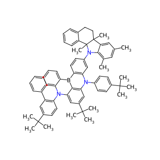 Cc1cc(C)c2c(c1)C1(C)CCc3ccccc3C1(C)N2c1ccc2c(c1)N(c1ccc(C(C)(C)C)cc1)c1cc(C(C)(C)C)cc3c1B2c1ccccc1N3c1ccc(C(C)(C)C)cc1-c1ccccc1